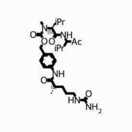 CC(=O)C(NC(=O)[C@H](C(C)C)N(C)C(=O)OCc1ccc(NC(=O)[C@@H](C)CCCNC(N)=O)cc1)C(C)C